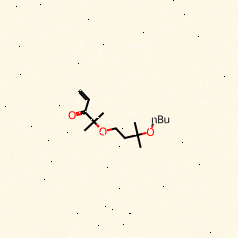 C=CC(=O)C(C)(C)OCCC(C)(C)OCCCC